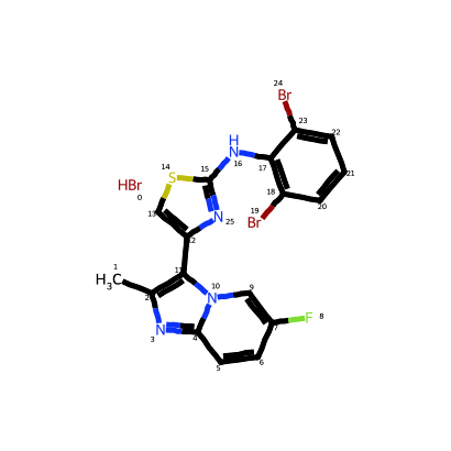 Br.Cc1nc2ccc(F)cn2c1-c1csc(Nc2c(Br)cccc2Br)n1